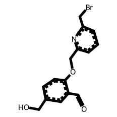 O=Cc1cc(CO)ccc1OCc1cccc(CBr)n1